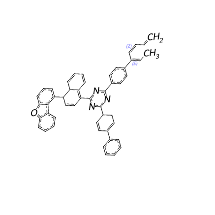 C=C/C=C\C(=C/C)c1ccc(-c2nc(C3=C4C=CC=CC4C(c4cccc5oc6ccccc6c45)C=C3)nc(C3C=CC(c4ccccc4)=CC3)n2)cc1